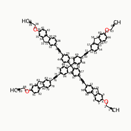 C#CCOc1ccc2c(c1)Cc1cc(C#Cc3ccc(C(c4ccc(C#Cc5ccc6c(c5)Cc5cc(OCC#C)ccc5-6)cc4)(c4ccc(C#Cc5ccc6c(c5)Cc5cc(OCC#C)ccc5-6)cc4)c4ccc(C#Cc5ccc6c(c5)Cc5cc(OCC#C)ccc5-6)cc4)cc3)ccc1-2